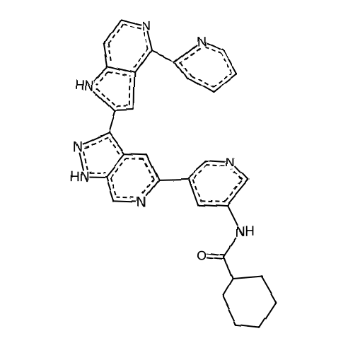 O=C(Nc1cncc(-c2cc3c(-c4cc5c(-c6ccccn6)nccc5[nH]4)n[nH]c3cn2)c1)C1CCCCC1